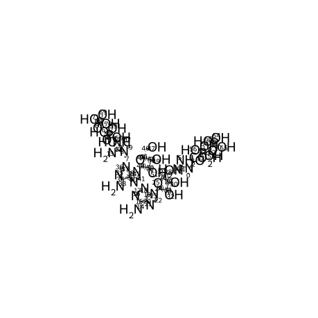 CN(CC(=O)O)C(=N)N.CN(CC(=O)O)C(=N)N.Nc1ncnc2c1ncn2[C@@H]1O[C@H](CO)[C@@H](O)[C@H]1O.Nc1ncnc2c1ncn2[C@@H]1O[C@H](CO)[C@@H](O)[C@H]1O.O=P(O)(O)O.O=P(O)(O)O.O=P(O)(O)O.O=P(O)(O)O